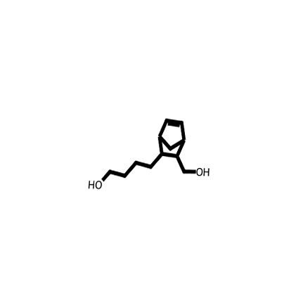 OCCCCC1C2C=CC(C2)C1CO